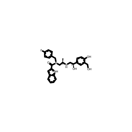 C[C@H](CN(Cc1ccc(F)cc1)C(=O)c1cc2ccccc2[nH]1)NC[C@H](O)c1ccc(O)c(CO)c1